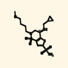 COCCCCN1C[C@@H](NCC2CC2)c2sc(S(N)(=O)=O)cc2S1(=O)=O